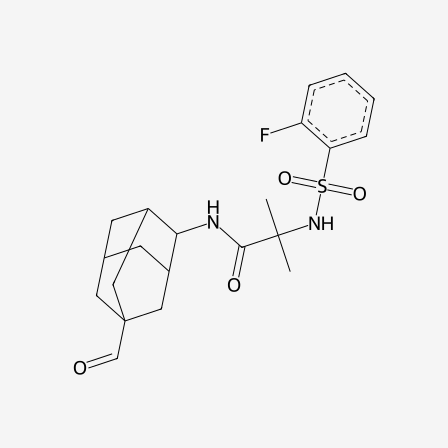 CC(C)(NS(=O)(=O)c1ccccc1F)C(=O)NC1C2CC3CC1CC(C=O)(C3)C2